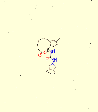 Cc1ccc2c(c1)CCCCCC(=O)OB2NC(=O)NN1CC2CCCC2C1